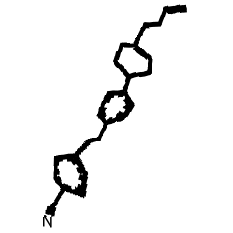 C=CCCC1=CCC(c2ccc(CCc3ccc(C#N)cc3)cc2)CC1